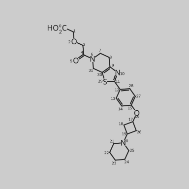 O=C(O)COCC(=O)N1CCc2nc(-c3ccc(OC4CC(N5CCCCC5)C4)cc3)sc2C1